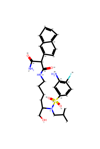 CC(C)CN(C(CO)CCCCNC(=O)C(C(N)=O)c1ccc2ccccc2c1)S(=O)(=O)c1ccc(F)c(N)c1